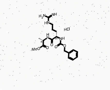 COC(=O)[C@H](C)NC(=O)[C@H](CCCNC(=N)N)NC(=O)OCc1ccccc1.Cl